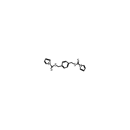 S=C(SCc1ccc(CSC(=S)n2cccc2)cc1)n1cccc1